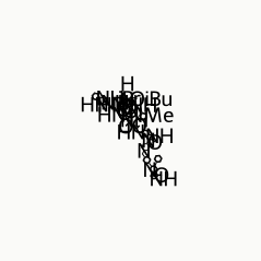 CNC(=O)[C@H](Cc1ccccc1)NC(=O)[C@H](COCC(C)C)NC(=O)[C@@H](NC(=O)[C@H](CCCNC(=N)Nc1ccccc1)NC(=O)CNC(=O)CCC(=O)Nc1ccc2[nH]c(=O)n(C3CCN(Cc4ccc(-c5nc6cc[nH]c(=O)c6cc5-c5ccccc5)cc4)CC3)c2c1)C(C)C